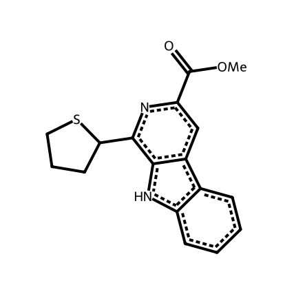 COC(=O)c1cc2c([nH]c3ccccc32)c(C2CCCS2)n1